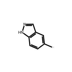 [CH2]c1ccc2[nH]ncc2c1